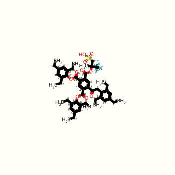 BCc1cc(CB)c(CC(=O)c2cc(C(=O)OC(C)(CS(=O)(=O)O)C(F)(F)F)c(C(=O)Oc3c(CB)cc(CB)cc3CB)cc2C(=O)Oc2c(CB)cc(CB)cc2CB)c(CB)c1